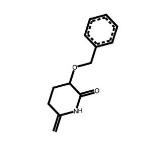 C=C1CCC(OCc2ccccc2)C(=O)N1